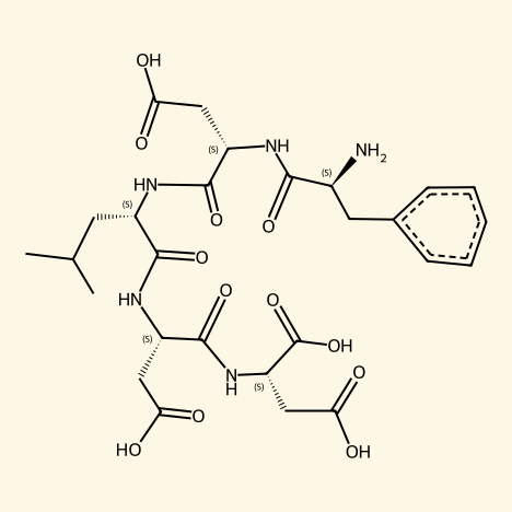 CC(C)C[C@H](NC(=O)[C@H](CC(=O)O)NC(=O)[C@@H](N)Cc1ccccc1)C(=O)N[C@@H](CC(=O)O)C(=O)N[C@@H](CC(=O)O)C(=O)O